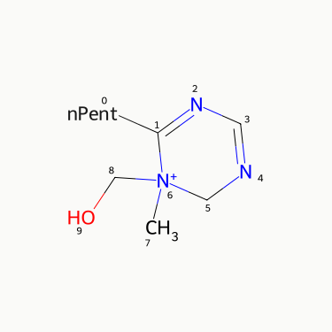 CCCCCC1=NC=NC[N+]1(C)CO